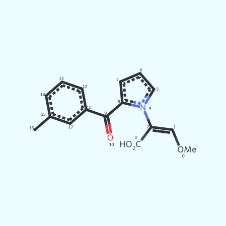 CO/C=C(\C(=O)O)n1cccc1C(=O)c1cccc(C)c1